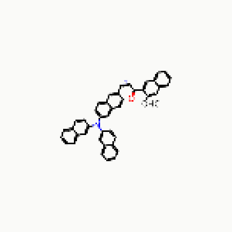 O=Cc1cc2ccccc2cc1C(=O)/C=C\c1ccc2cc(N(c3ccc4ccccc4c3)c3ccc4ccccc4c3)ccc2c1